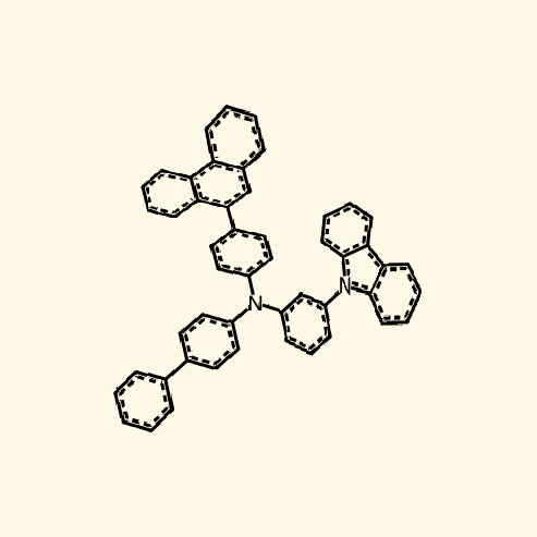 c1ccc(-c2ccc(N(c3ccc(-c4cc5ccccc5c5ccccc45)cc3)c3cccc(-n4c5ccccc5c5ccccc54)c3)cc2)cc1